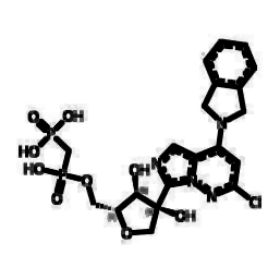 O=P(O)(O)CP(=O)(O)OC[C@H]1OC[C@@](O)(c2ncc3c(N4Cc5ccccc5C4)cc(Cl)nn23)[C@@H]1O